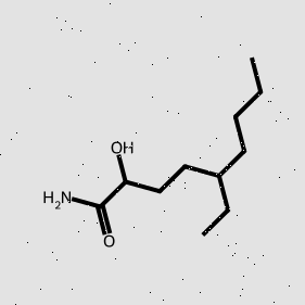 CCCCC(CC)CCC(O)C(N)=O